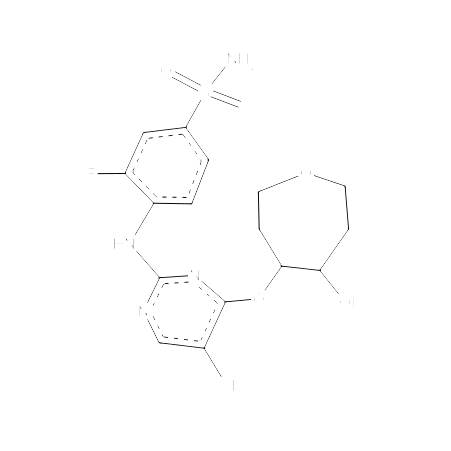 NS(=O)(=O)c1ccc(Nc2ncc(C(F)(F)F)c(OC3CCOCCC3O)n2)c(F)c1